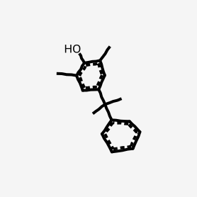 Cc1cc(C(C)(C)c2ccccc2)cc(C)c1O